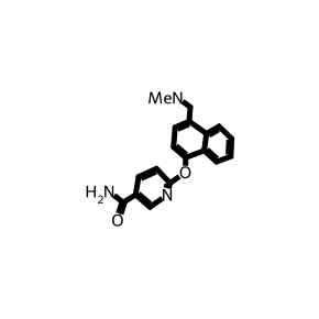 CNCc1ccc(Oc2ccc(C(N)=O)cn2)c2ccccc12